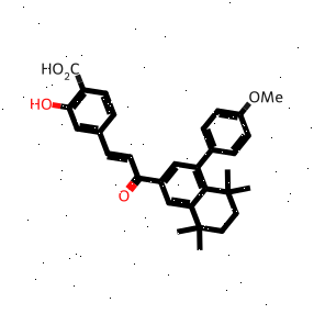 COc1ccc(-c2cc(C(=O)C=Cc3ccc(C(=O)O)c(O)c3)cc3c2C(C)(C)CCC3(C)C)cc1